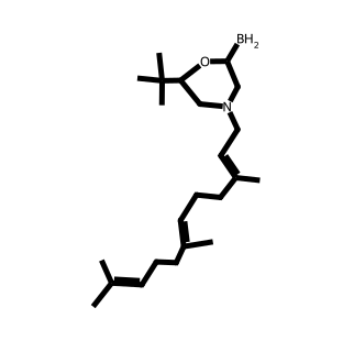 BC1CN(C/C=C(\C)CC/C=C(\C)CCC=C(C)C)CC(C(C)(C)C)O1